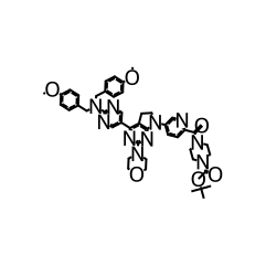 COc1ccc(CN(Cc2ccc(OC)cc2)c2ncc(-c3nc(N4CCOCC4)nc4c3CCN4c3ccc(C(=O)N4CCN(C(=O)OC(C)(C)C)CC4)nc3)cn2)cc1